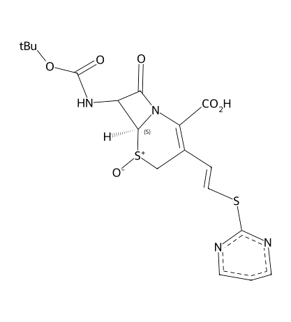 CC(C)(C)OC(=O)NC1C(=O)N2C(C(=O)O)=C(C=CSc3ncccn3)C[S+]([O-])[C@@H]12